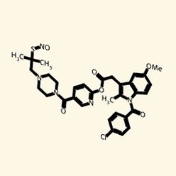 COc1ccc2c(c1)c(CC(=O)Oc1ccc(C(=O)N3CCN(CC(C)(C)SN=O)CC3)cn1)c(C)n2C(=O)c1ccc(Cl)cc1